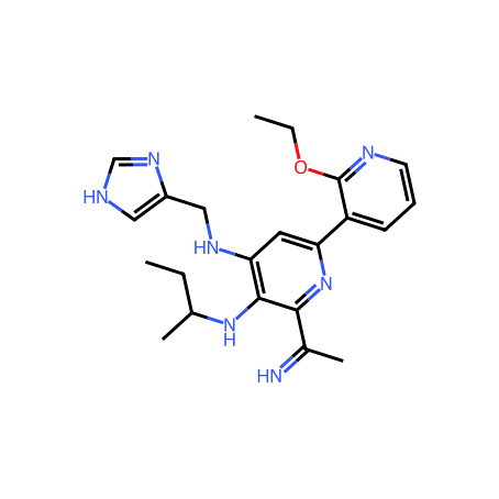 CCOc1ncccc1-c1cc(NCc2c[nH]cn2)c(NC(C)CC)c(C(C)=N)n1